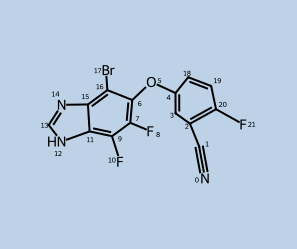 N#Cc1cc(Oc2c(F)c(F)c3[nH]cnc3c2Br)ccc1F